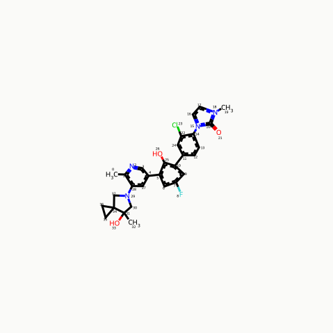 Cc1ncc(-c2cc(F)cc(-c3ccc(-n4ccn(C)c4=O)c(Cl)c3)c2O)cc1N1CC(C)(O)C2(CC2)C1